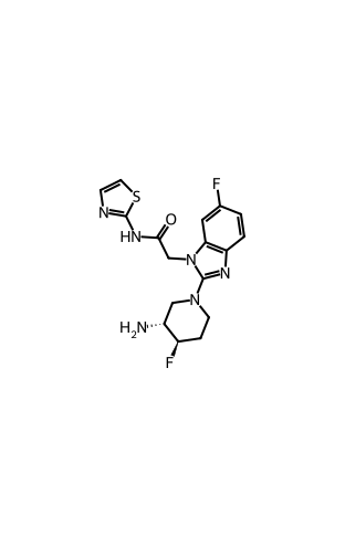 N[C@@H]1CN(c2nc3ccc(F)cc3n2CC(=O)Nc2nccs2)CC[C@H]1F